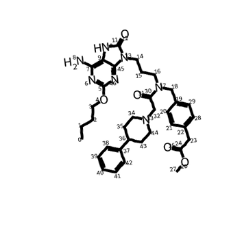 CCCCOc1nc(N)c2[nH]c(=O)n(CCCN(Cc3ccc(CC(=O)OC)cc3)C(=O)CN3CCC(c4ccccc4)CC3)c2n1